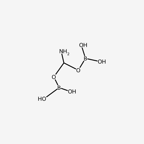 NC(OB(O)O)OB(O)O